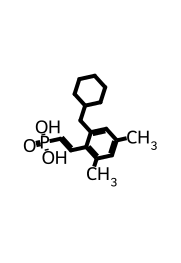 Cc1cc(C)c(/C=C/P(=O)(O)O)c(CC2CCCCC2)c1